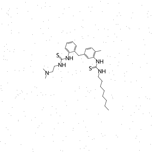 CCCCCCCCNC(=S)Nc1cc(Cc2ccccc2NC(=S)NCCN(C)C)ccc1C